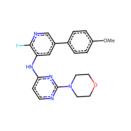 COc1ccc(-c2cnc(F)c(Nc3ccnc(N4CCOCC4)n3)c2)cc1